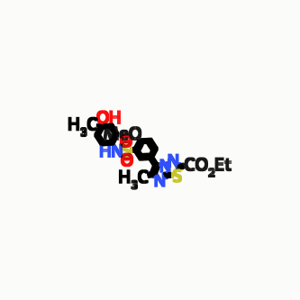 CCOC(=O)c1nn2c(-c3ccc(OC)c(S(=O)(=O)N[C@H]4CC[C@@](C)(O)CC4)c3)c(C)nc2s1